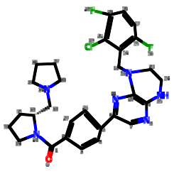 O=C(c1ccc(-c2cnc3c(n2)N(Cc2c(F)ccc(F)c2Cl)CCN3)cc1)N1CCC[C@@H]1CN1CCCC1